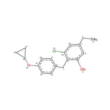 CC(=O)OCc1cc(O)c(Cc2ccc(OC3CC3)cc2)c(Cl)c1